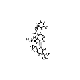 CN(CCOc1cccc(F)c1)C1(C(=O)NC2(c3ccc(C(=O)O)cc3)CC2)CCOCC1